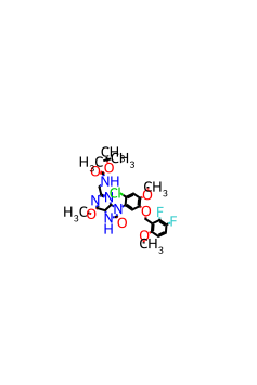 COC1=NC(CNC(=O)OC(C)(C)C)=NC2C1NC(=O)N2c1cc(OCc2c(OC)ccc(F)c2F)c(OC)cc1Cl